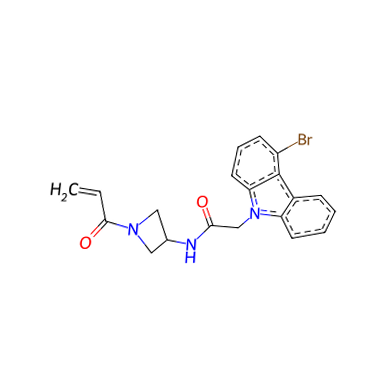 C=CC(=O)N1CC(NC(=O)Cn2c3ccccc3c3c(Br)cccc32)C1